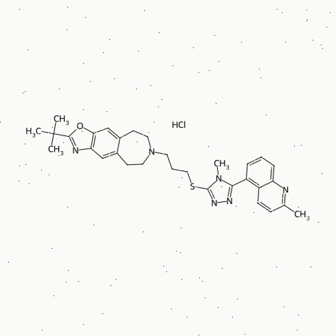 Cc1ccc2c(-c3nnc(SCCCN4CCc5cc6nc(C(C)(C)C)oc6cc5CC4)n3C)cccc2n1.Cl